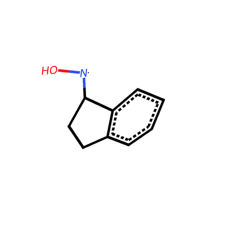 O[N]C1CCc2ccccc21